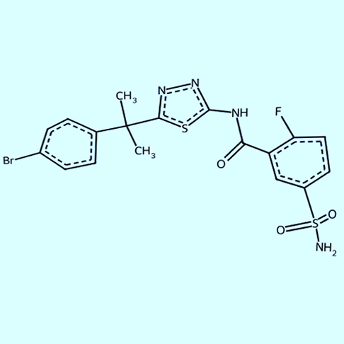 CC(C)(c1ccc(Br)cc1)c1nnc(NC(=O)c2cc(S(N)(=O)=O)ccc2F)s1